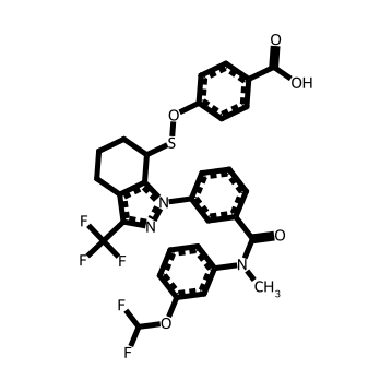 CN(C(=O)c1cccc(-n2nc(C(F)(F)F)c3c2C(SOc2ccc(C(=O)O)cc2)CCC3)c1)c1cccc(OC(F)F)c1